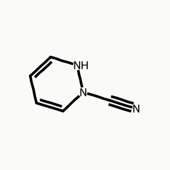 N#CN1C=CC=CN1